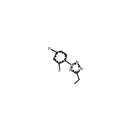 CCc1nnn(-c2ccc(F)cc2F)n1